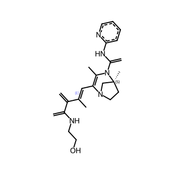 C=C(NCCO)C(=C)/C(C)=C/C1=C(C)N(C(=C)Nc2ccccn2)[C@@]2(C)CCN1C2